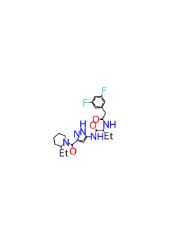 CCC(NC(=O)Cc1cc(F)cc(F)c1)C(=O)Nc1cc(C(=O)N2CCCCC2CC)n[nH]1